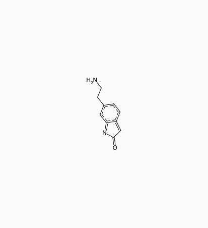 NCCc1ccc2c(c1)=NC(=O)C=2